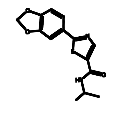 CC(C)NC(=O)c1cnc(-c2ccc3c(c2)OCO3)s1